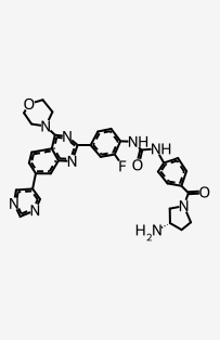 N[C@H]1CCN(C(=O)c2ccc(NC(=O)Nc3ccc(-c4nc(N5CCOCC5)c5ccc(-c6cncnc6)cc5n4)cc3F)cc2)C1